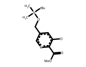 COC(=O)c1ncc(CO[Si](C)(C)C(C)(C)C)cc1Cl